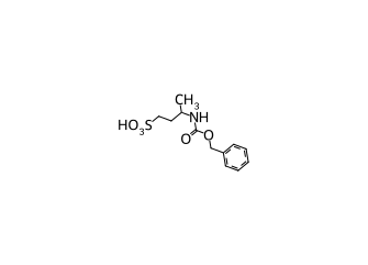 CC(CCS(=O)(=O)O)NC(=O)OCc1ccccc1